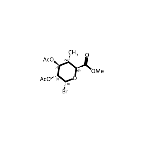 COC(=O)[C@H]1O[C@H](Br)[C@H](OC(C)=O)[C@@H](OC(C)=O)[C@@H]1C